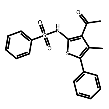 CC(=O)c1c(NS(=O)(=O)c2ccccc2)sc(-c2ccccc2)c1C